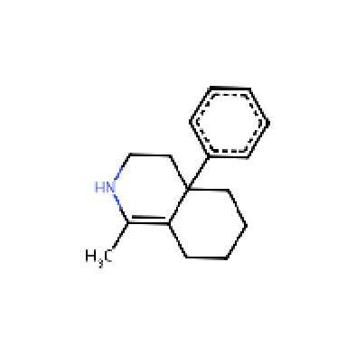 CC1=C2CCCCC2(c2ccccc2)CCN1